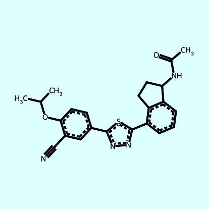 CC(=O)NC1CCc2c(-c3nnc(-c4ccc(OC(C)C)c(C#N)c4)s3)cccc21